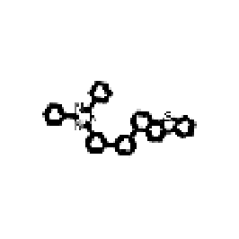 c1ccc(-c2nc(-c3ccccc3)nc(-c3cccc(-c4cccc(-c5cccc6c5ccc5c7ccccc7sc65)c4)c3)n2)cc1